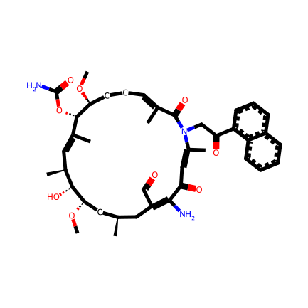 CO[C@H]1C[C@H](C)C/C(C=O)=C(\N)C(=O)/C=C(\C)N(CC(=O)c2cccc3ccccc23)C(=O)/C(C)=C/CC[C@H](OC)[C@@H](OC(N)=O)/C(C)=C/[C@H](C)[C@H]1O